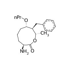 CCCO[C@H]1CCC[C@H](N)C(=O)O[C@@H](C)[C@@H]1Cc1ccccc1